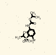 CC(C)OC(=O)Nc1ccc(Br)c([SH](C)(=O)C(C)C)c1